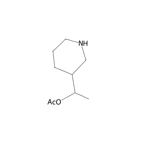 CC(=O)OC(C)C1CCCNC1